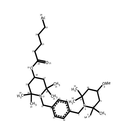 COC1CC(C)(C)N(Cc2ccc(CN3C(C)(C)CC(OC(=O)CCCCC(C)=O)CC3(C)C)cc2)C(C)(C)C1